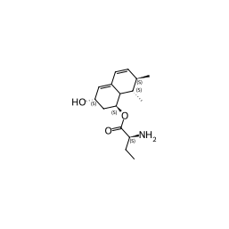 CC[C@H](N)C(=O)O[C@H]1C[C@H](O)C=C2C=C[C@@H](C)[C@H](C)C21